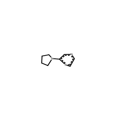 [c]1nccnc1N1CCCC1